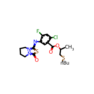 CCCCSCC(C)OC(=O)c1cc(N=c2sc(=O)n3n2CCCC3)c(F)cc1Cl